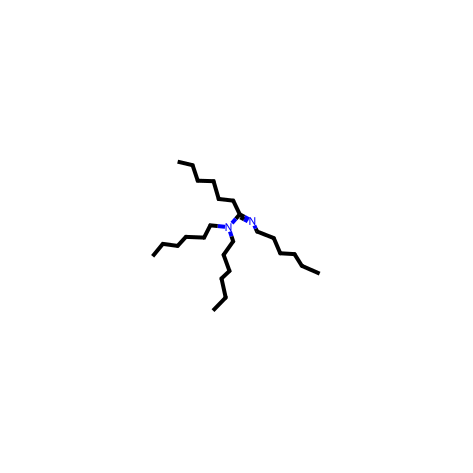 CCCCCCN=C(CCCCCC)N(CCCCCC)CCCCCC